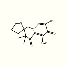 COc1c2n(cc(Br)c1=O)CC1(CCCO1)C(C)(C)C2=O